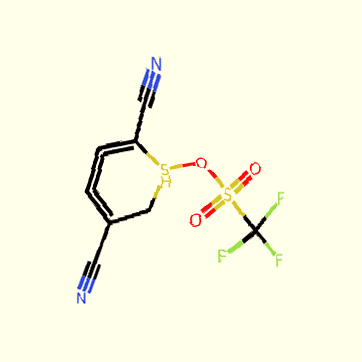 N#CC1=C=C=C(C#N)[SH](OS(=O)(=O)C(F)(F)F)C1